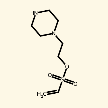 C=CS(=O)(=O)OCCN1CCNCC1